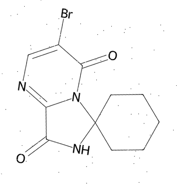 O=C1NC2(CCCCC2)n2c1ncc(Br)c2=O